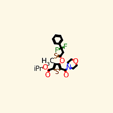 Cc1c(C(=O)OC(C)C)sc(C(=O)N2CCOCC2)c1OC(=S)CC(F)(F)c1ccccc1